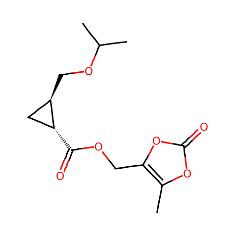 Cc1oc(=O)oc1COC(=O)[C@@H]1C[C@H]1COC(C)C